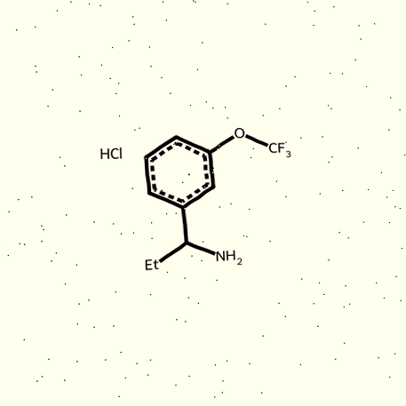 CCC(N)c1cccc(OC(F)(F)F)c1.Cl